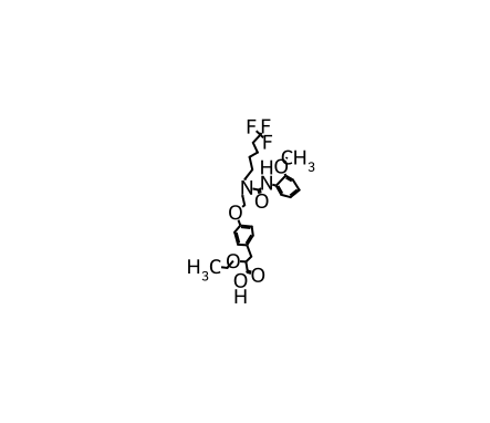 CCOC(Cc1ccc(OCCN(CCCCCC(F)(F)F)C(=O)Nc2ccccc2OC)cc1)C(=O)O